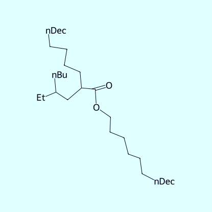 CCCCCCCCCCCCCCCCOC(=O)C(CCCCCCCCCCCCCC)CC(CC)CCCC